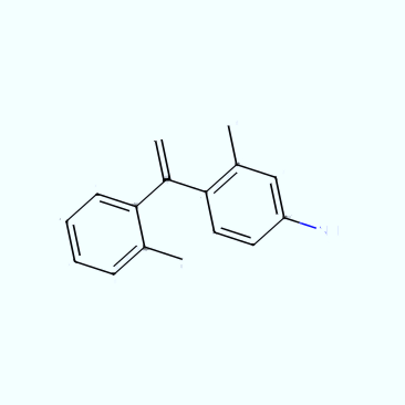 C=C(c1ccccc1C)c1ccc(N)cc1C